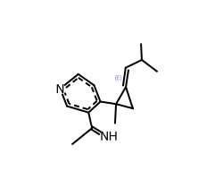 CC(=N)c1cnccc1C1(C)C/C1=C\C(C)C